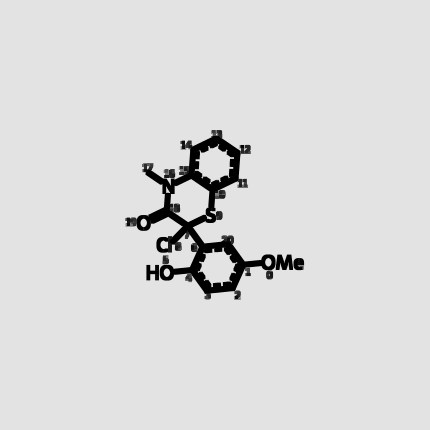 COc1ccc(O)c(C2(Cl)Sc3ccccc3N(C)C2=O)c1